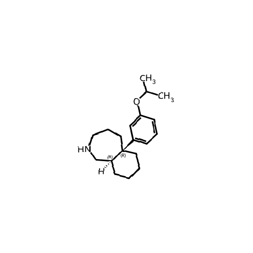 CC(C)Oc1cccc([C@@]23CCCC[C@H]2CNCCC3)c1